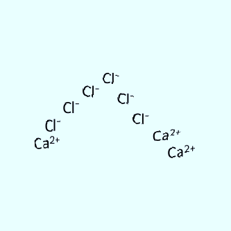 [Ca+2].[Ca+2].[Ca+2].[Cl-].[Cl-].[Cl-].[Cl-].[Cl-].[Cl-]